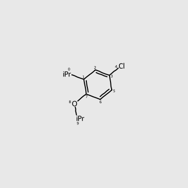 [CH2]C(C)c1cc(Cl)ccc1OC(C)C